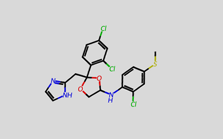 CSc1ccc(NC2COC(Cc3ncc[nH]3)(c3ccc(Cl)cc3Cl)O2)c(Cl)c1